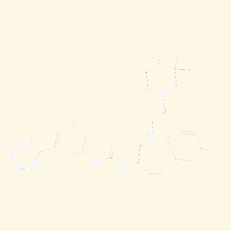 CC1(C)CN(C(=O)CN2C(=O)C(NC(=O)Nc3cccc(-c4nnn[nH]4)c3)COc3cc(F)ccc32)CC(C)(C)C1